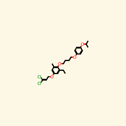 CCc1cc(OCC=C(Cl)Cl)cc(C)c1OCCCCOc1ccc(OC(C)C)cc1